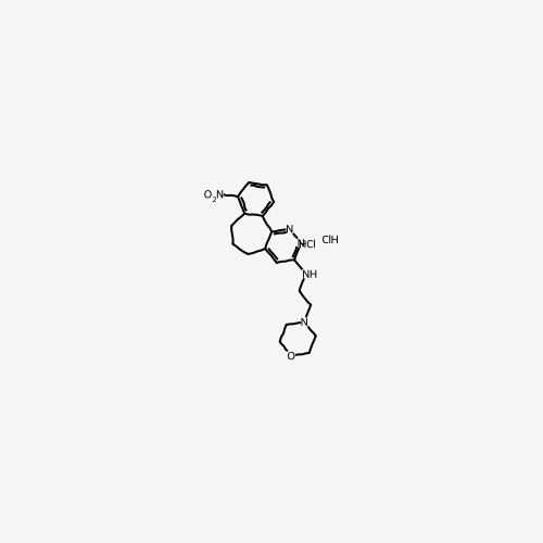 Cl.Cl.O=[N+]([O-])c1cccc2c1CCCc1cc(NCCN3CCOCC3)nnc1-2